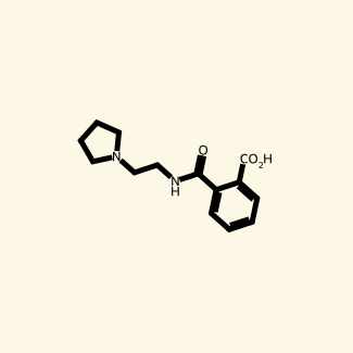 O=C(O)c1ccccc1C(=O)NCCN1CCCC1